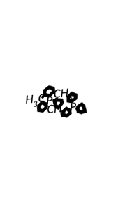 Cc1ccccc1P(c1ccccc1C)c1ccccc1C.c1ccc(P(c2ccccc2)c2ccccc2)cc1